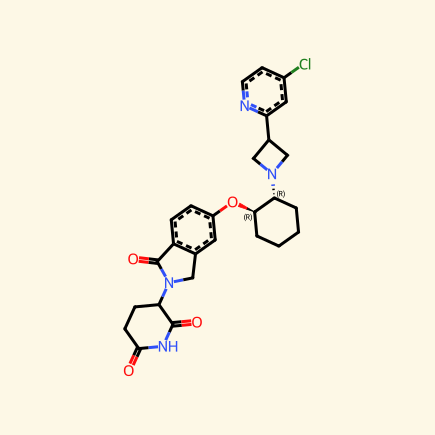 O=C1CCC(N2Cc3cc(O[C@@H]4CCCC[C@H]4N4CC(c5cc(Cl)ccn5)C4)ccc3C2=O)C(=O)N1